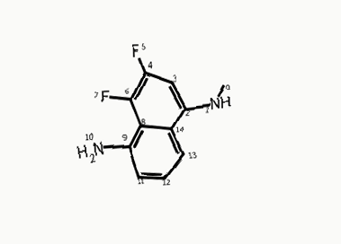 CNc1cc(F)c(F)c2c(N)cccc12